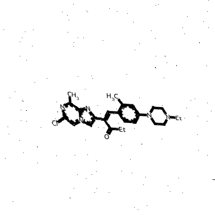 CCC(=O)/C(=C\c1ccc(N2CCN(CC)CC2)cc1C)c1cn2cc(Cl)nc(C)c2n1